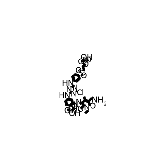 CCn1c(O)c(/N=N/c2cc(Nc3nc(Cl)nc(Nc4ccc(S(=O)(=O)CCOS(=O)(=O)O)cc4)n3)ccc2S(=O)(=O)O)c(C)c(CN)c1=O